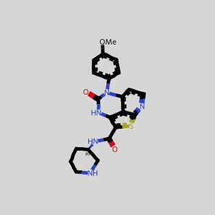 COc1ccc(N2C(=O)Nc3c(C(=O)N[C@@H]4CCCNC4)sc4nccc2c34)cc1